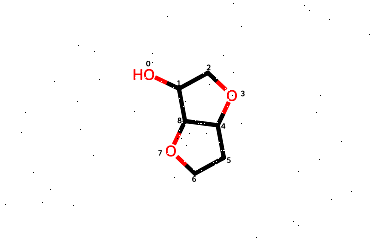 OC1COC2CCOC12